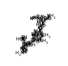 CC(C)[C@H](NC(=O)CN=[N+]=[N-])C(=O)N[C@@H](CCCNC(N)=O)C(=O)Nc1ccc(COC(=O)N(C)CCN(C)C(=O)O[C@@H]2C[C@@H](COP(=O)(S)O[C@H]3[C@@H](F)[C@H](n4cnc5c(N)ncnc54)O[C@@H]3COP(=O)(O)S)O[C@H]2n2cnc3c(N)ncnc32)cc1